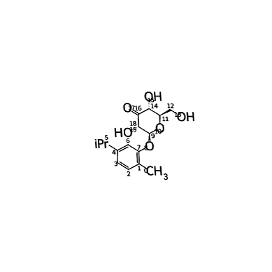 Cc1ccc(C(C)C)cc1O[C@@H]1O[C@H](CO)[C@@H](O)C(=O)[C@H]1O